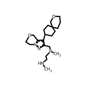 CNCCN(C)Cc1nn2c(c1C1CCC3(CCCOC3)CC1)COCC2